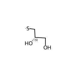 OC[C@H](O)C[S]